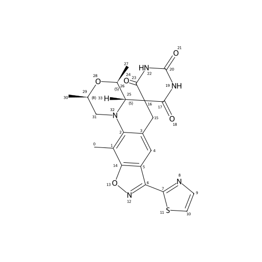 Cc1c2c(cc3c(-c4nccs4)noc13)CC1(C(=O)NC(=O)NC1=O)[C@H]1[C@H](C)O[C@H](C)CN21